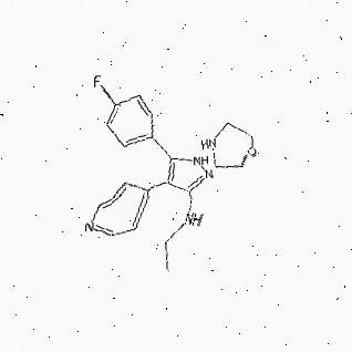 C1COCCN1.CCNc1n[nH]c(-c2ccc(F)cc2)c1-c1ccncc1